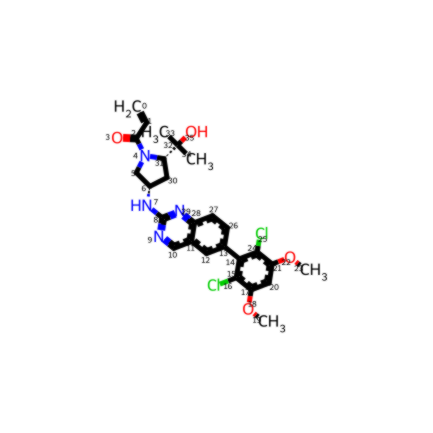 C=CC(=O)N1C[C@@H](Nc2ncc3cc(-c4c(Cl)c(OC)cc(OC)c4Cl)ccc3n2)C[C@H]1C(C)(C)O